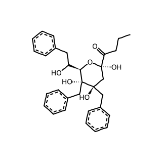 CCCC(=O)[C@@]1(O)C[C@](O)(Cc2ccccc2)[C@@](O)(Cc2ccccc2)[C@@H](C(O)Cc2ccccc2)O1